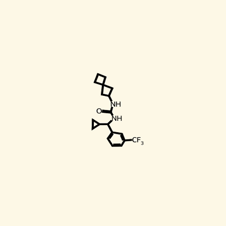 O=C(NC1CC2(CCC2)C1)NC(c1cccc(C(F)(F)F)c1)C1CC1